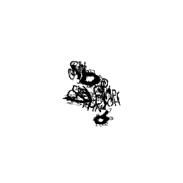 CC(C)CN(C[C@@H](O)[C@H](Cc1ccccc1)NC(=O)O[C@H]1CO[C@@]2(C)OCC[C@@H]12)S(=O)(=O)c1ccc2nc([S+](C)[O-])sc2c1